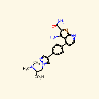 CN(C)C(Cn1cc(-c2ccc(-c3ccnc4sc(C(N)=O)c(N)c34)cc2)cn1)C(=O)O